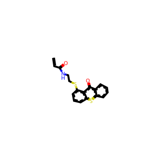 C=CC(=O)NCCSc1cccc2sc3ccccc3c(=O)c12